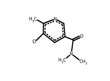 Cc1ncc(C(=O)N(C)C)cc1Cl